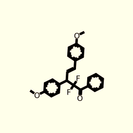 COc1ccc(C=CC(c2ccc(OC)cc2)C(F)(F)C(=O)c2ccccc2)cc1